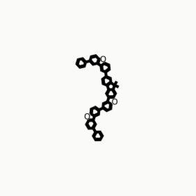 CC1(C)c2cc(-c3ccc4oc5ccc(-c6ccccc6)cc5c4c3)ccc2-c2cc3c(cc21)oc1ccc(-c2ccc4oc5ccc(-c6ccccc6)cc5c4c2)cc13